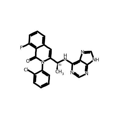 C[C@H](Nc1ncnc2[nH]cnc12)c1cc2cccc(F)c2c(=O)n1-c1ccccc1Cl